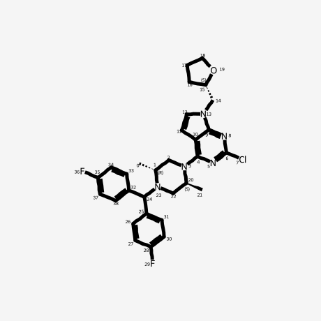 C[C@@H]1CN(c2nc(Cl)nc3c2ccn3C[C@@H]2CCCO2)[C@@H](C)CN1C(c1ccc(F)cc1)c1ccc(F)cc1